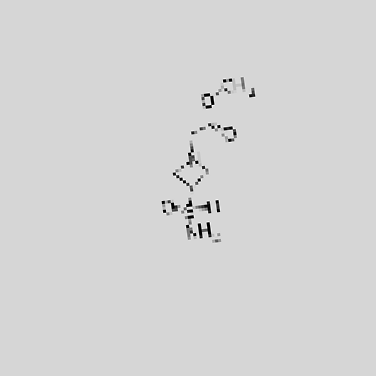 COC(=O)CN1CC(S(N)(=O)=O)C1